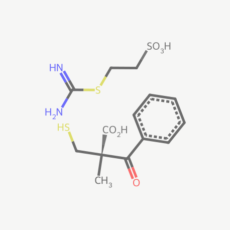 C[C@@](CS)(C(=O)O)C(=O)c1ccccc1.N=C(N)SCCS(=O)(=O)O